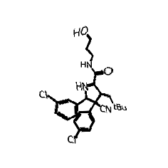 CC(C)(C)CC1C(C(=O)NCCCO)NC(c2cccc(Cl)c2)C1(C#N)c1ccc(Cl)cc1